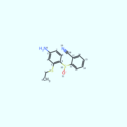 CCSc1cc(N)ccc1[S+]([O-])c1ccccc1C#N